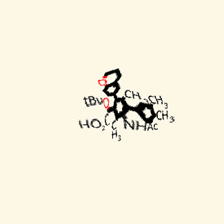 CC(=O)Nc1c(C)c(C(OC(C)(C)C)C(=O)O)c(-c2ccc3c(c2)CCCO3)c(C)c1-c1ccc(C)c(C)c1